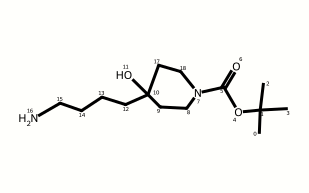 CC(C)(C)OC(=O)N1CCC(O)(CCCCN)CC1